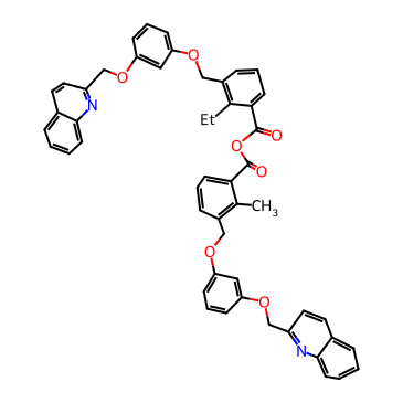 CCc1c(COc2cccc(OCc3ccc4ccccc4n3)c2)cccc1C(=O)OC(=O)c1cccc(COc2cccc(OCc3ccc4ccccc4n3)c2)c1C